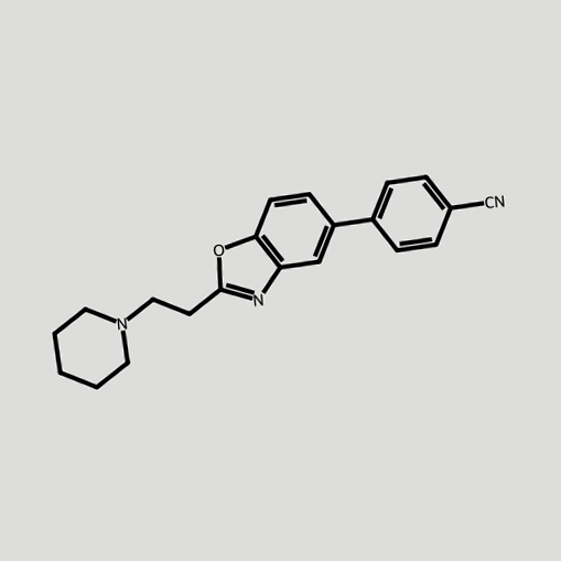 N#Cc1ccc(-c2ccc3oc(CCN4CCCCC4)nc3c2)cc1